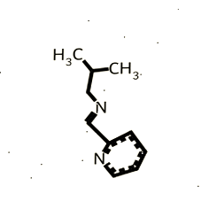 CC(C)CN=Cc1ccccn1